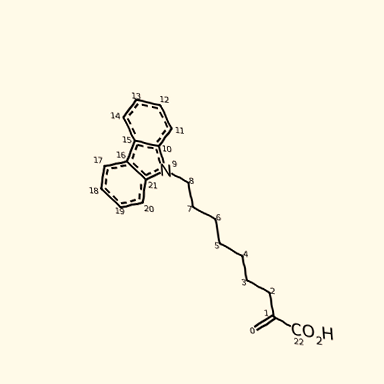 C=C(CCCCCCCn1c2ccccc2c2ccccc21)C(=O)O